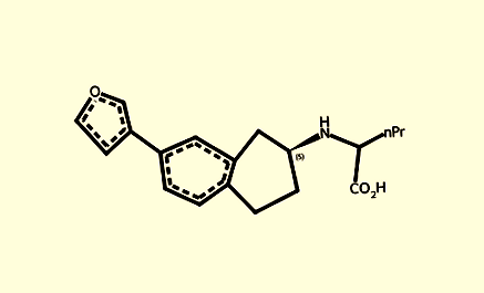 CCCC(N[C@H]1CCc2ccc(-c3ccoc3)cc2C1)C(=O)O